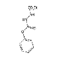 CCOC(=O)NNC(=O)Oc1ccccc1